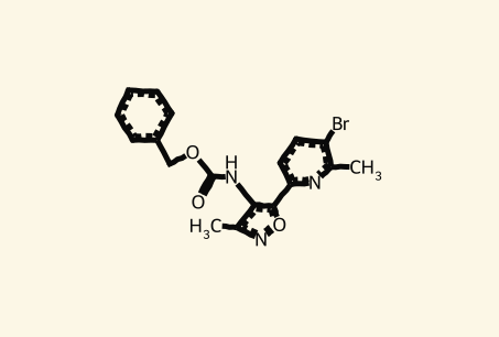 Cc1nc(-c2onc(C)c2NC(=O)OCc2ccccc2)ccc1Br